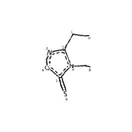 CCc1noc(=S)n1C